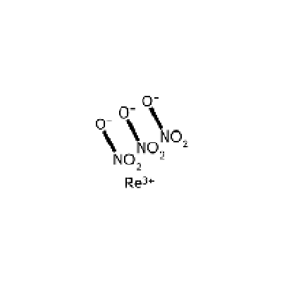 O=[N+]([O-])[O-].O=[N+]([O-])[O-].O=[N+]([O-])[O-].[Re+3]